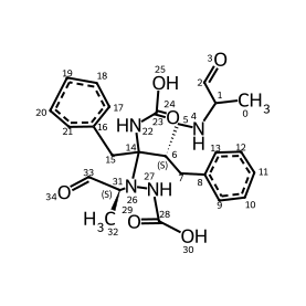 CC(C=O)NC[C@H](Cc1ccccc1)C(Cc1ccccc1)(NC(=O)O)N(NC(=O)O)[C@@H](C)C=O